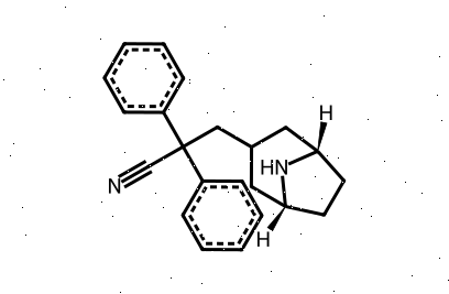 N#CC(CC1C[C@H]2CC[C@@H](C1)N2)(c1ccccc1)c1ccccc1